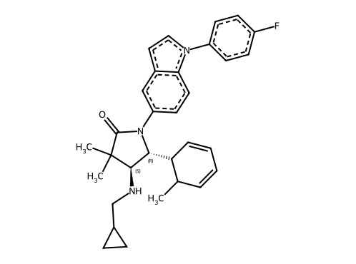 CC1C=CC=CC1[C@@H]1[C@@H](NCC2CC2)C(C)(C)C(=O)N1c1ccc2c(ccn2-c2ccc(F)cc2)c1